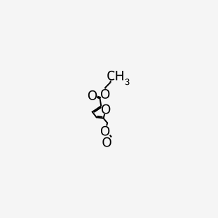 CCCOC(=O)c1ccc(COC=O)o1